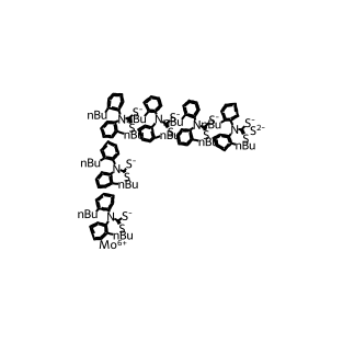 CCCCc1ccccc1N(C(=S)[S-])c1ccccc1CCCC.CCCCc1ccccc1N(C(=S)[S-])c1ccccc1CCCC.CCCCc1ccccc1N(C(=S)[S-])c1ccccc1CCCC.CCCCc1ccccc1N(C(=S)[S-])c1ccccc1CCCC.CCCCc1ccccc1N(C(=S)[S-])c1ccccc1CCCC.CCCCc1ccccc1N(C(=S)[S-])c1ccccc1CCCC.[Mo+6].[S-2]